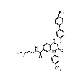 CC(C)(C)c1ccc(-c2ccc(C[C@@H](Nc3ccc(C(=O)NCCC(=O)O)cc3)C(=O)Nc3ccc(C(F)(F)F)cc3)cc2)cc1